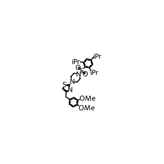 COc1ccc(Cc2csc(N3CCN(S(=O)(=O)c4c(C(C)C)cc(C(C)C)cc4C(C)C)CC3)n2)cc1OC